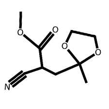 COC(=O)C(C#N)CC1(C)OCCO1